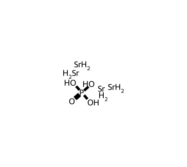 O=P(O)(O)O.[SrH2].[SrH2].[SrH2].[SrH2]